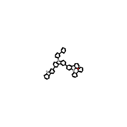 c1ccc(-c2cccc(-n3c4ccc(-c5ccc6c(c5)sc5ccccc56)cc4c4cc(-c5ccc6c(c5)c5ccccc5n6-c5ccccc5-c5ccccc5)ccc43)c2)cc1